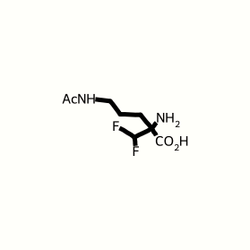 CC(=O)NCCCC(N)(C(=O)O)C(F)F